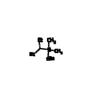 CCCC[Si](C)(C)C(CC)CC